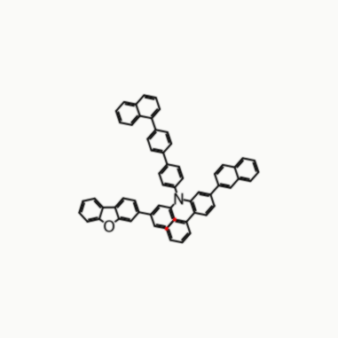 c1ccc(-c2ccc(-c3ccc4ccccc4c3)cc2N(c2ccc(-c3ccc(-c4cccc5ccccc45)cc3)cc2)c2cccc(-c3ccc4c(c3)oc3ccccc34)c2)cc1